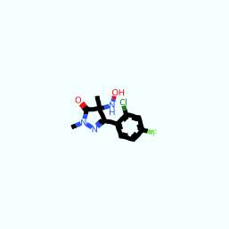 CN1N=C(c2ccc(F)cc2Cl)C(C)(NO)C1=O